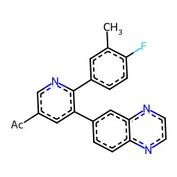 CC(=O)c1cnc(-c2ccc(F)c(C)c2)c(-c2ccc3nccnc3c2)c1